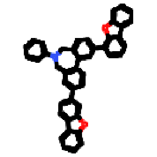 c1ccc(N2Cc3cc(-c4ccc5c(c4)oc4ccccc45)ccc3-c3cc(-c4cccc5c4oc4ccccc45)ccc3C2)cc1